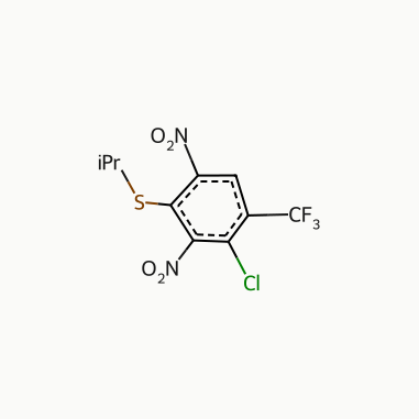 CC(C)Sc1c([N+](=O)[O-])cc(C(F)(F)F)c(Cl)c1[N+](=O)[O-]